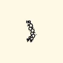 C[C@@H]1CC(CN(C)C(=O)N(C)C)OC2C[C@@]3(C)C4CCC5C(C)(C)C(O)CCC56CC46CCC3(C)C21